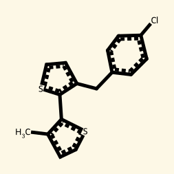 Cc1ccsc1-c1sccc1Cc1ccc(Cl)cc1